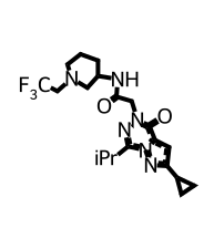 CC(C)c1nn(CC(=O)NC2CCCN(CC(F)(F)F)C2)c(=O)c2cc(C3CC3)nn12